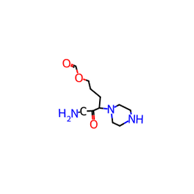 NCC(=O)C(CCCOC=O)N1CCNCC1